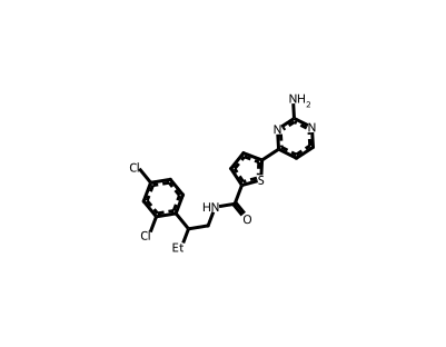 CCC(CNC(=O)c1ccc(-c2ccnc(N)n2)s1)c1ccc(Cl)cc1Cl